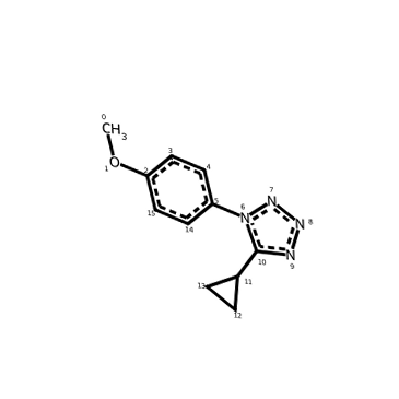 COc1[c]cc(-n2nnnc2C2CC2)cc1